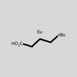 CCCCCCCC(=O)O.[Eu]